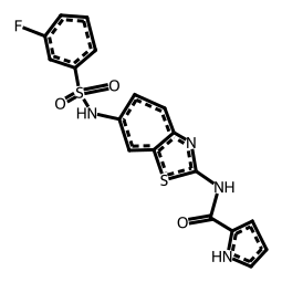 O=C(Nc1nc2ccc(NS(=O)(=O)c3cccc(F)c3)cc2s1)c1ccc[nH]1